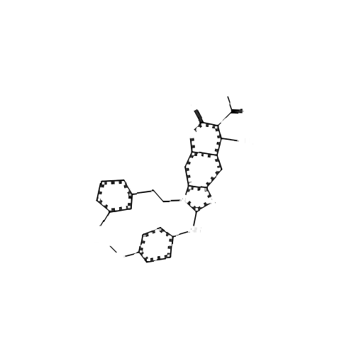 COc1ccc(Nc2nc3cc4c(C)c(C(=O)O)c(=O)oc4cc3n2CCc2cccc(Cl)c2)cc1